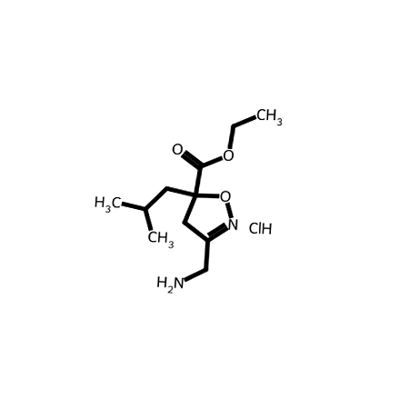 CCOC(=O)C1(CC(C)C)CC(CN)=NO1.Cl